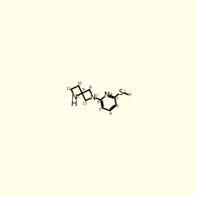 CSc1cccc(N2CC3(CCN3)C2)n1